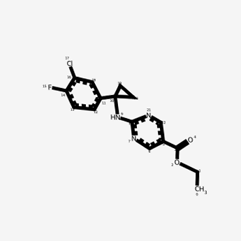 CCOC(=O)c1cnc(NC2(c3ccc(F)c(Cl)c3)CC2)nc1